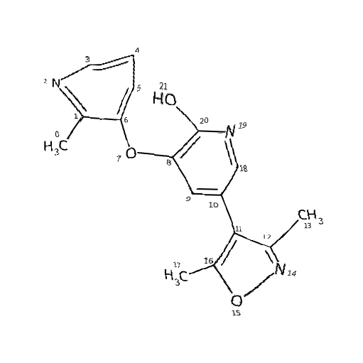 Cc1ncccc1Oc1cc(-c2c(C)noc2C)cnc1O